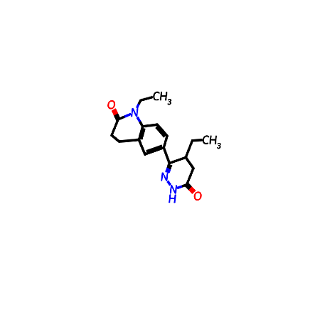 CCC1CC(=O)NN=C1c1ccc2c(c1)CCC(=O)N2CC